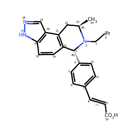 CC(C)CN1[C@H](c2ccc(/C=C/C(=O)O)cc2)c2ccc3[nH]ncc3c2C[C@H]1C